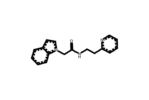 O=C(Cn1c[c]c2ccccc21)NCCc1ccccn1